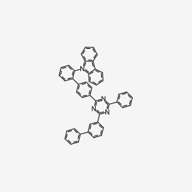 c1ccc(-c2cccc(-c3nc(-c4ccccc4)nc(-c4ccc(-c5ccccc5-n5c6ccccc6c6ccccc65)cc4)n3)c2)cc1